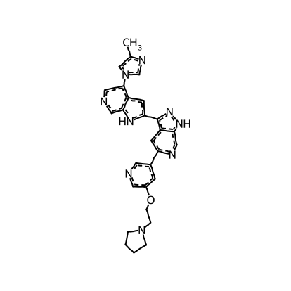 Cc1cn(-c2cncc3[nH]c(-c4n[nH]c5cnc(-c6cncc(OCCN7CCCC7)c6)cc45)cc23)cn1